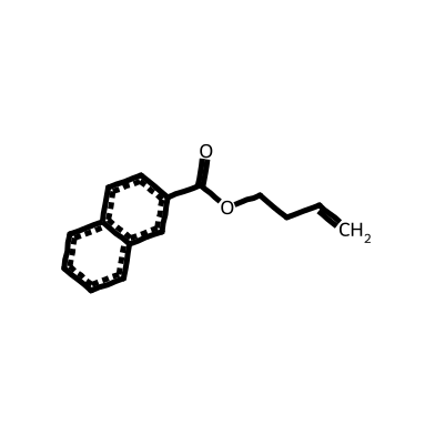 C=CCCOC(=O)c1ccc2ccccc2c1